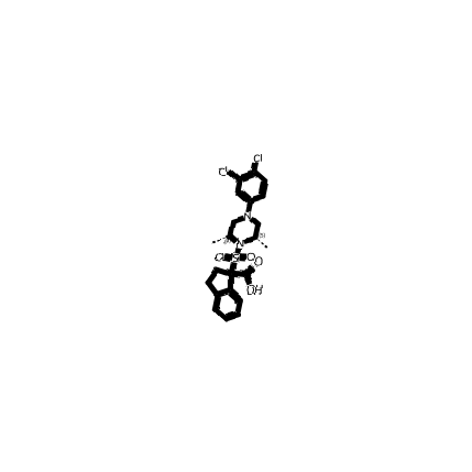 C[C@@H]1CN(c2ccc(Cl)c(Cl)c2)C[C@H](C)N1S(=O)(=O)C1(C(=O)O)CCc2ccccc21